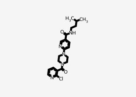 CC(C)CCNC(=O)c1ccc(N2CCN(C(=O)c3cccnc3Cl)CC2)nc1